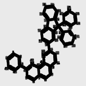 c1ccc(-c2ccc3ccc4ccc(-c5ccc6c(c5)C(c5cccnc5)(c5cccnc5)c5ccccc5-6)nc4c3n2)cc1